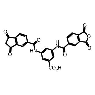 O=C(O)c1cc(NC(=O)c2ccc3c(c2)C(=O)CC3=O)cc(NC(=O)c2ccc3c(c2)C(=O)OC3=O)c1